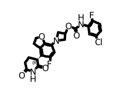 O=C1CC[C@H](c2c(F)cc(N3CC(OC(=O)Nc4cc(Cl)ccc4F)C3)c3c2CCO3)C(=O)N1